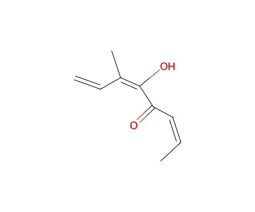 C=C/C(C)=C(/O)C(=O)/C=C\C